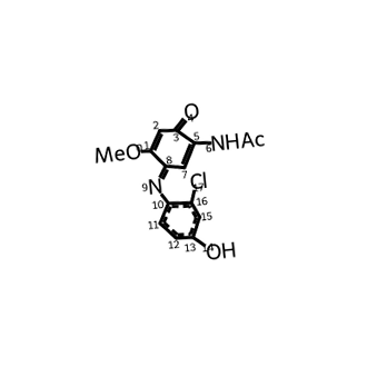 COC1=CC(=O)C(NC(C)=O)=CC1=Nc1ccc(O)cc1Cl